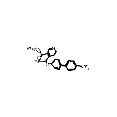 CCCC(Oc1ccc(-c2ccc(C(F)(F)F)cc2)cc1)c1ccncc1C(=O)OC